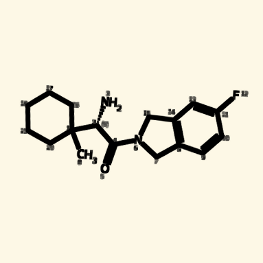 CC1([C@H](N)C(=O)N2Cc3ccc(F)cc3C2)CCCCC1